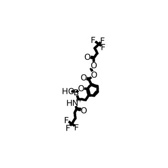 O=C(CCC(F)(F)F)N[C@H]1Cc2cccc(C(=O)OCOC(=O)CCC(F)(F)F)c2OB1O